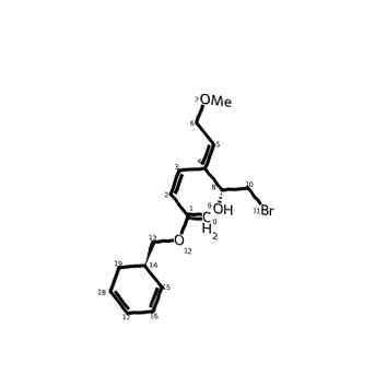 C=C(/C=C\C(=C/COC)[C@@H](O)CBr)OC[C@H]1C=CC=CC1